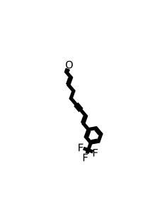 O=C/C=C/CCC#C/C=C/c1cccc(C(F)(F)F)c1